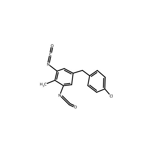 Cc1c(N=C=O)cc(Cc2ccc(Cl)cc2)cc1N=C=O